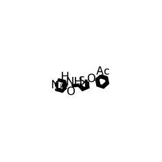 CC(=O)c1ccccc1Oc1ccc(C(=O)N[C@H]2CN3CCC2CC3)s1